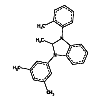 Cc1cc(C)cc(N2c3ccccc3N(c3ccccc3C)C2C)c1